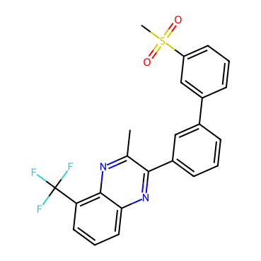 Cc1nc2c(C(F)(F)F)cccc2nc1-c1cccc(-c2cccc(S(C)(=O)=O)c2)c1